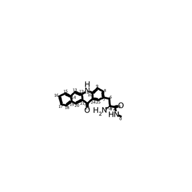 CNC(=O)[C@@H](N)Cc1ccc2[nH]c3cc4ccccc4cc3c(=O)c2c1